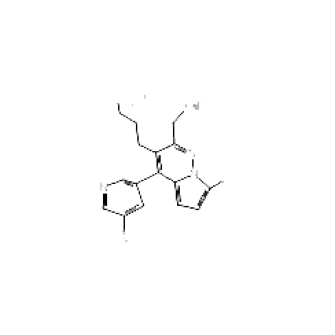 CCOC(=O)CCCc1c(COCC(C)C)nn2c(CC)ccc2c1-c1cncc(Br)c1